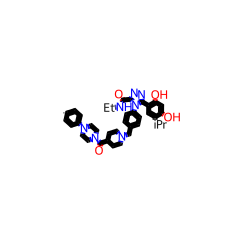 CCNC(=O)c1nnc(-c2cc(C(C)C)c(O)cc2O)n1-c1ccc(CN2CCC(C(=O)N3CCN(c4cc[c]cc4)CC3)CC2)cc1